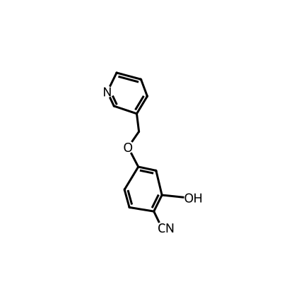 N#Cc1ccc(OCc2cccnc2)cc1O